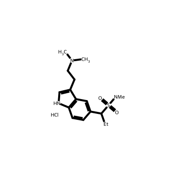 CCC(c1ccc2[nH]cc(CCN(C)C)c2c1)S(=O)(=O)NC.Cl